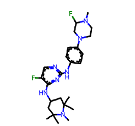 CN1CCN(c2ccc(Nc3ncc(F)c(NC4CC(C)(C)N(C)C(C)(C)C4)n3)cc2)CC1F